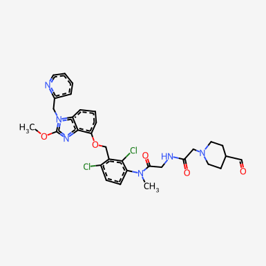 COc1nc2c(OCc3c(Cl)ccc(N(C)C(=O)CNC(=O)CN4CCC(C=O)CC4)c3Cl)cccc2n1Cc1ccccn1